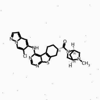 CN1C[C@H]2C[C@@H]1CN2C(=O)[C@H]1CCc2c(sc3ncnc(Nc4cc5ccnn5cc4Cl)c23)C1